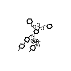 Cc1ccc(-c2ccc(CN(C(=O)CN(C)S(=O)(=O)c3ccc(C)cc3)c3ccc(C(=O)OCc4ccccc4)c(OCc4ccccc4)c3)cc2)cc1